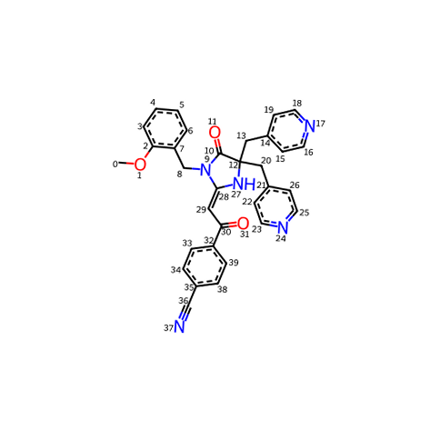 COc1ccccc1CN1C(=O)C(Cc2ccncc2)(Cc2ccncc2)NC1=CC(=O)c1ccc(C#N)cc1